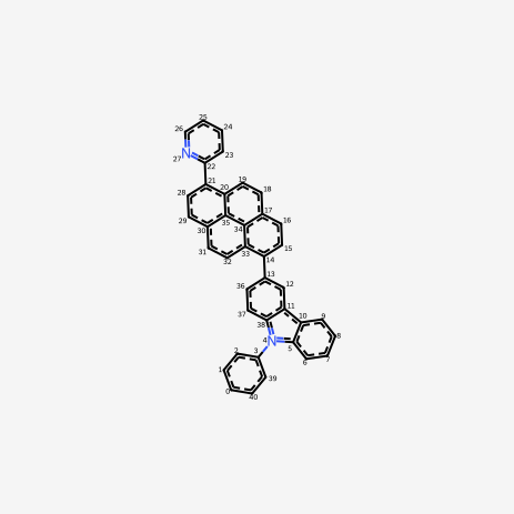 c1ccc(-n2c3ccccc3c3cc(-c4ccc5ccc6c(-c7ccccn7)ccc7ccc4c5c76)ccc32)cc1